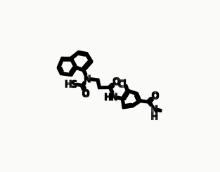 CNC(=O)c1ccc(NC(=O)CCN(C(=O)S)c2cccc3ccccc23)c(Cl)c1